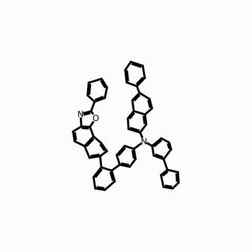 c1ccc(-c2cccc(N(c3ccc(-c4ccccc4-c4ccc5c(ccc6nc(-c7ccccc7)oc65)c4)cc3)c3ccc4cc(-c5ccccc5)ccc4c3)c2)cc1